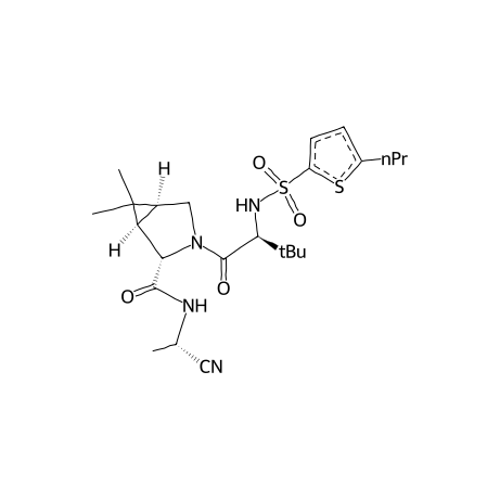 CCCc1ccc(S(=O)(=O)N[C@H](C(=O)N2C[C@H]3[C@@H]([C@H]2C(=O)N[C@@H](C)C#N)C3(C)C)C(C)(C)C)s1